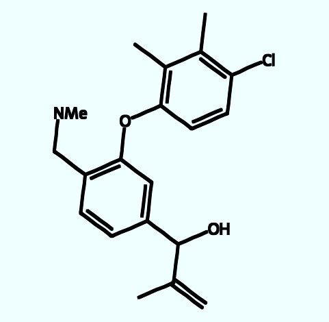 C=C(C)C(O)c1ccc(CNC)c(Oc2ccc(Cl)c(C)c2C)c1